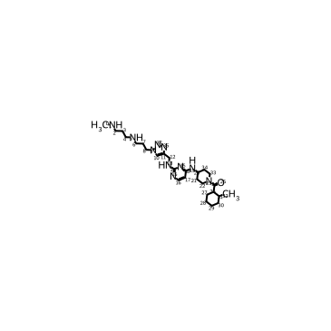 CNCCCNCCCn1cc(CNc2nccc(NC3CCN(C(=O)C4CCCCC4C)CC3)n2)nn1